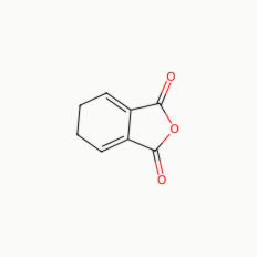 O=C1OC(=O)C2=CCCC=C12